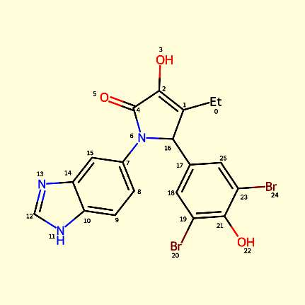 CCC1=C(O)C(=O)N(c2ccc3[nH]cnc3c2)C1c1cc(Br)c(O)c(Br)c1